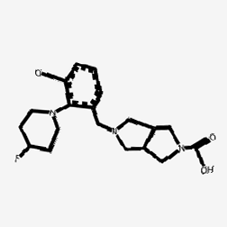 O=C(O)N1CC2CN(Cc3cccc(Cl)c3N3CCC(F)CC3)CC2C1